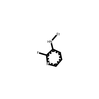 CCNc1[c]ccnc1F